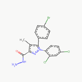 Cc1c(C(=O)NN)nn(-c2ccc(Cl)cc2Cl)c1-c1ccc(Br)cc1